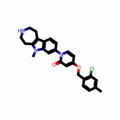 Cc1ccc(COc2ccn(-c3ccc4c5c(n(C)c4c3)CCNCC5)c(=O)c2)c(Cl)c1